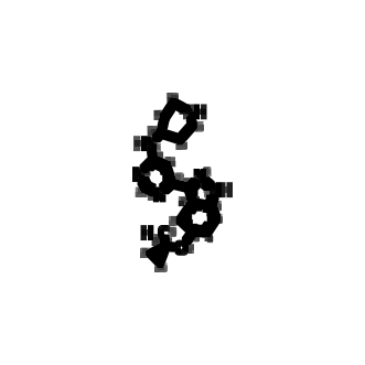 CC1(Oc2ccc3[nH]nc(-c4cc(NC5CCNCC5)ncn4)c3c2)CC1